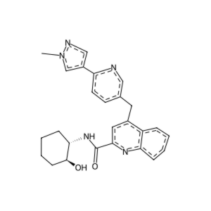 Cn1cc(-c2ccc(Cc3cc(C(=O)N[C@H]4CCCC[C@@H]4O)nc4ccccc34)cn2)cn1